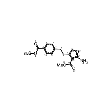 CCCCOC(=O)c1ccc(CCc2coc(N)c2C(=O)OC)cc1